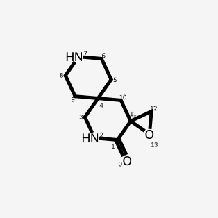 O=C1NCC2(CCNCC2)CC12CO2